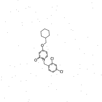 O=c1cc(OCC2CCCCC2)ccn1Cc1ccc(Cl)cc1Cl